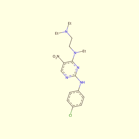 CCN(CC)CCN(CC)c1nc(Nc2ccc(Cl)cc2)ncc1[N+](=O)[O-]